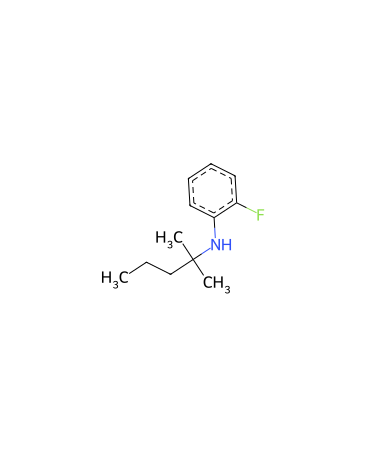 CCCC(C)(C)Nc1ccccc1F